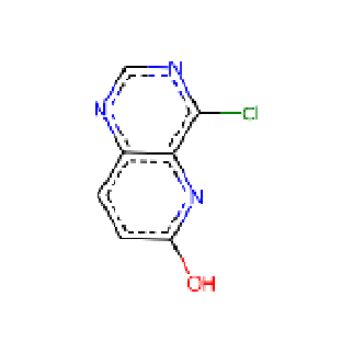 Oc1ccc2ncnc(Cl)c2n1